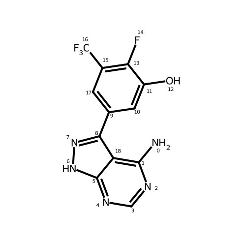 Nc1ncnc2[nH]nc(-c3cc(O)c(F)c(C(F)(F)F)c3)c12